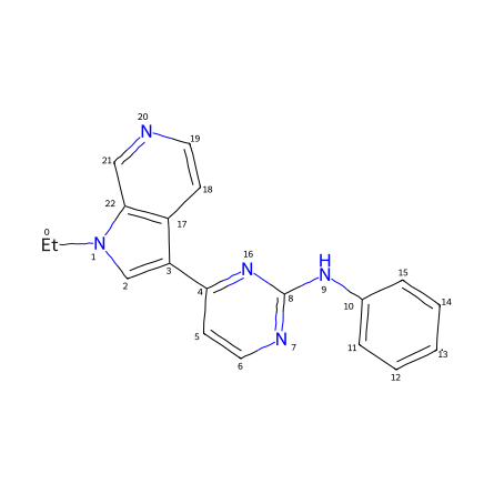 CCn1cc(-c2ccnc(Nc3cc[c]cc3)n2)c2ccncc21